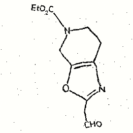 CCOC(=O)N1CCc2nc(C=O)oc2C1